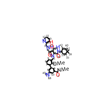 CNC(=O)c1cc(-c2cccc(CN3O[C@@H](CNCc4ccccn4)[C@@H]([C@H](C)O)[C@H]3C(=O)N[C@H]3C[C@@H](C)C(C)(C)[C@@H](C)[C@@H]3C)c2OC)cc(N(C)C)c1